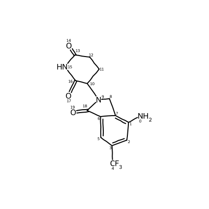 Nc1cc(C(F)(F)F)cc2c1CN(C1CCC(=O)NC1=O)C2=O